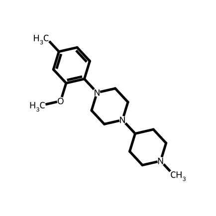 COc1cc(C)ccc1N1CCN(C2CCN(C)CC2)CC1